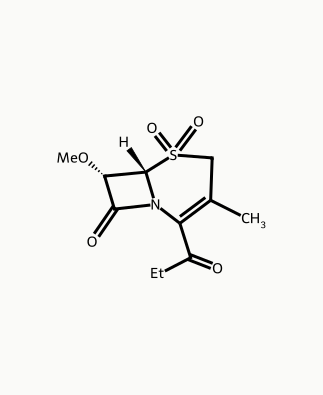 CCC(=O)C1=C(C)CS(=O)(=O)[C@H]2[C@@H](OC)C(=O)N12